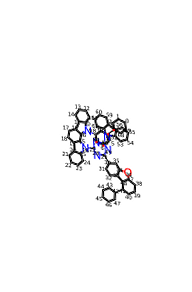 c1ccc(-c2cccc(-n3c4ccccc4c4ccc5c6ccccc6n(-c6nc(-c7ccc8c(c7)oc7cccc(-c9ccccc9)c78)nc(-n7c8ccccc8c8ccccc87)n6)c5c43)c2)cc1